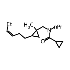 CC/C=C\CCC1CC1(C)CN(CCC)C(=O)C1CC1